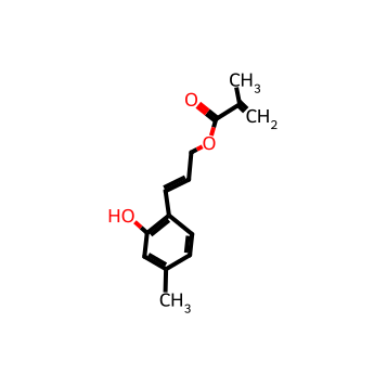 C=C(C)C(=O)OCC=Cc1ccc(C)cc1O